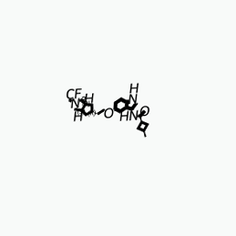 C[C@H]1C[C@@H](C(=O)Nc2c[nH]c3ccc(OCC[C@@H]4C[C@@H]5CN(CC(F)(F)F)C[C@@H]5C4)cc23)C1